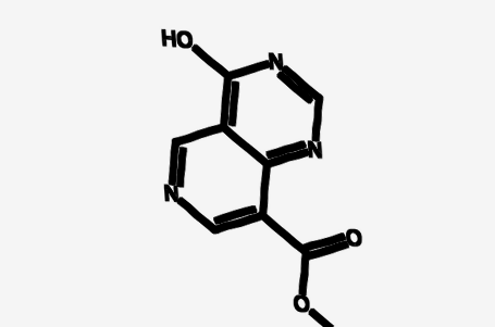 COC(=O)c1cncc2c(O)ncnc12